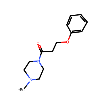 CC(C)(C)N1CCN(C(=O)CCOc2ccccc2)CC1